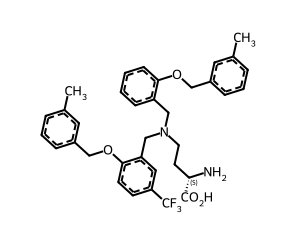 Cc1cccc(COc2ccccc2CN(CC[C@H](N)C(=O)O)Cc2cc(C(F)(F)F)ccc2OCc2cccc(C)c2)c1